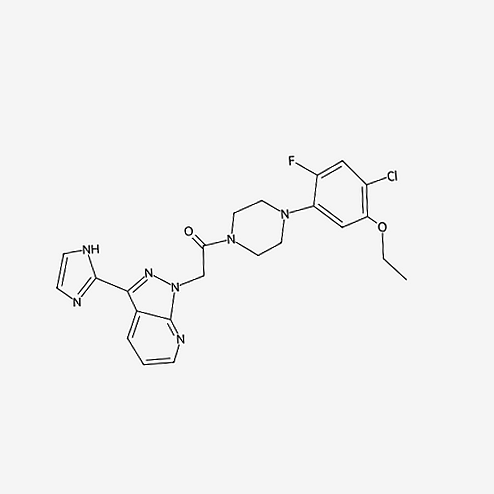 CCOc1cc(N2CCN(C(=O)Cn3nc(-c4ncc[nH]4)c4cccnc43)CC2)c(F)cc1Cl